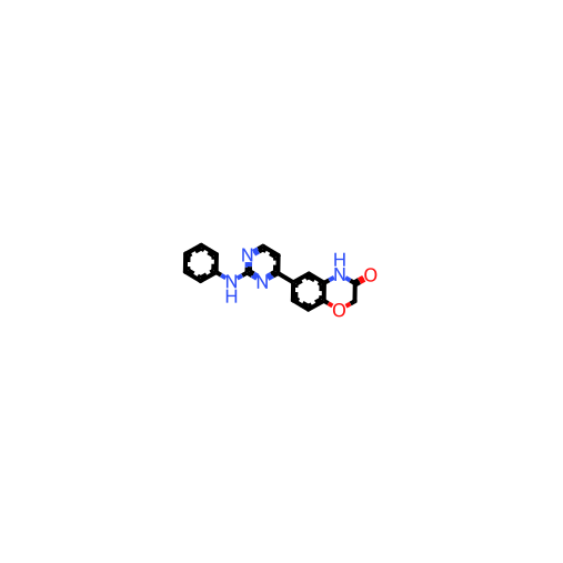 O=C1COc2ccc(-c3ccnc(Nc4ccccc4)n3)cc2N1